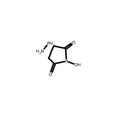 NP.O=C1CCC(=O)N1O